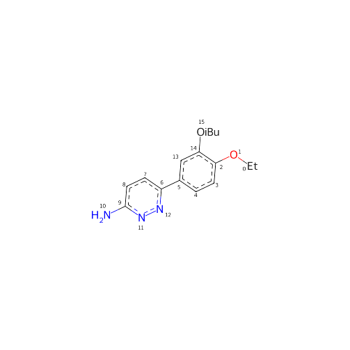 CCOc1ccc(-c2ccc(N)nn2)cc1OCC(C)C